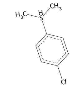 C[SH](C)c1ccc(Cl)cc1